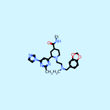 CCNC(=O)C1CCN(CCN(C)Cc2ccc3c(c2)OCO3)C(c2cc(-n3ccnc3)nc(C)n2)C1